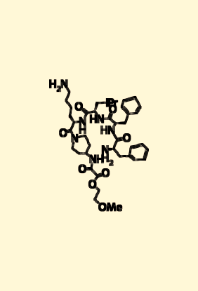 COCCOC(=O)C(=O)NC1CCN(C(=O)[C@@H](CCCCN)NC(=O)[C@@H](CC(C)C)NC(=O)[C@@H](Cc2ccccc2)NC(=O)[C@H](N)Cc2ccccc2)CC1